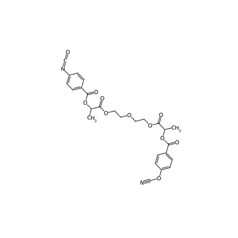 CC(OC(=O)c1ccc(N=C=O)cc1)C(=O)OCCOCCOC(=O)C(C)OC(=O)c1ccc(OC#N)cc1